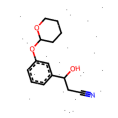 N#CCC(O)c1cccc(OC2CCCCO2)c1